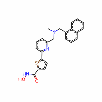 CN(Cc1cccc(-c2ccc(C(=O)NO)s2)n1)Cc1cccc2ccccc12